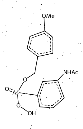 COc1ccc(CO[As](=O)(OO)c2cccc(NC(C)=O)c2)cc1